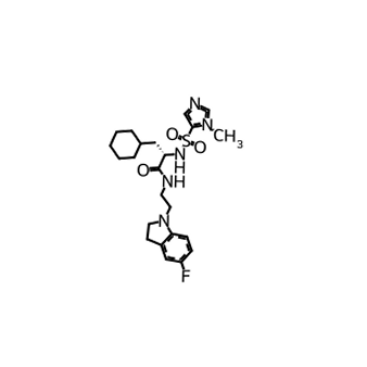 Cn1cncc1S(=O)(=O)N[C@@H](CC1CCCCC1)C(=O)NCCN1CCc2cc(F)ccc21